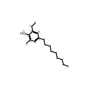 CCCCCCCCCc1cc(C)c(O)c(CC)c1